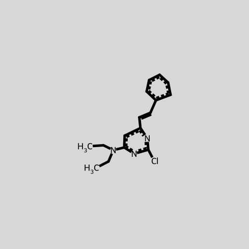 CCN(CC)c1cc(C=Cc2ccccc2)nc(Cl)n1